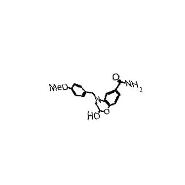 COc1ccc(CN2CC(O)Oc3ccc(C(N)=O)cc32)cc1